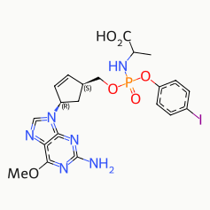 COc1nc(N)nc2c1ncn2[C@H]1C=C[C@@H](COP(=O)(NC(C)C(=O)O)Oc2ccc(I)cc2)C1